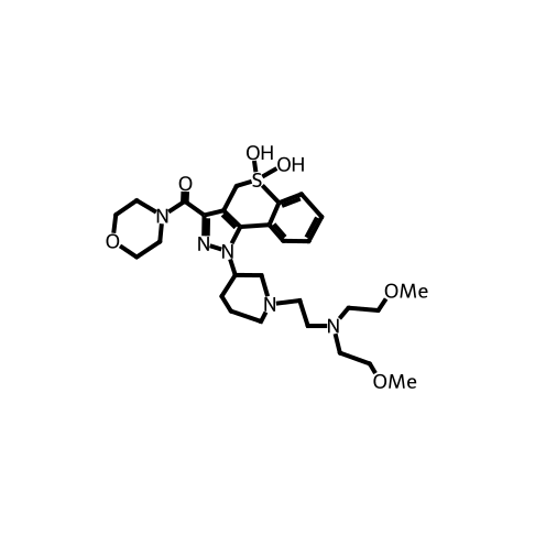 COCCN(CCOC)CCN1CCCC(n2nc(C(=O)N3CCOCC3)c3c2-c2ccccc2S(O)(O)C3)C1